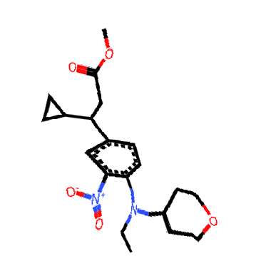 CCN(c1ccc(C(CC(=O)OC)C2CC2)cc1[N+](=O)[O-])C1CCOCC1